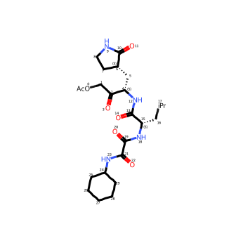 CC(=O)OCC(=O)[C@H](C[C@@H]1CCNC1=O)NC(=O)[C@H](CC(C)C)NC(=O)C(=O)NC1CCCCC1